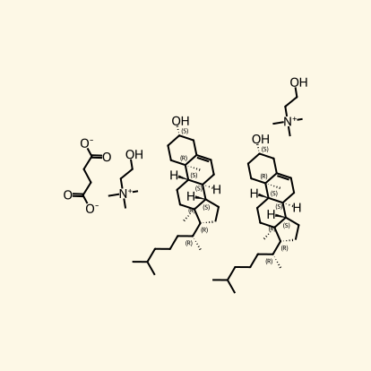 CC(C)CCC[C@@H](C)[C@H]1CC[C@H]2[C@@H]3CC=C4C[C@@H](O)CC[C@]4(C)[C@H]3CC[C@]12C.CC(C)CCC[C@@H](C)[C@H]1CC[C@H]2[C@@H]3CC=C4C[C@@H](O)CC[C@]4(C)[C@H]3CC[C@]12C.C[N+](C)(C)CCO.C[N+](C)(C)CCO.O=C([O-])CCC(=O)[O-]